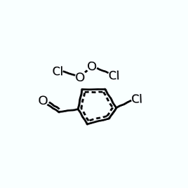 ClOOCl.O=Cc1ccc(Cl)cc1